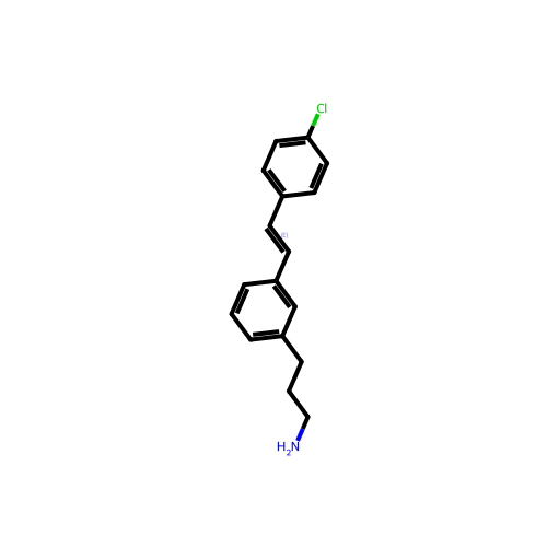 NCCCc1cccc(/C=C/c2ccc(Cl)cc2)c1